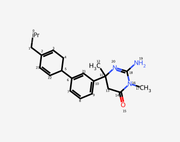 CC(C)CC1=CCC(c2cccc(C3(C)CC(=O)N(C)C(N)=N3)c2)C=C1